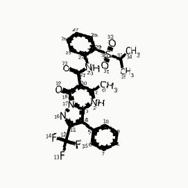 Cc1[nH]c2c(-c3ccccc3)c(C(F)(F)F)nn2c(=O)c1C(=O)Nc1ccccc1S(=O)(=O)C(C)C